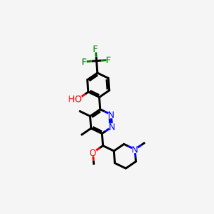 COC(c1nnc(-c2ccc(C(F)(F)F)cc2O)c(C)c1C)C1CCCN(C)C1